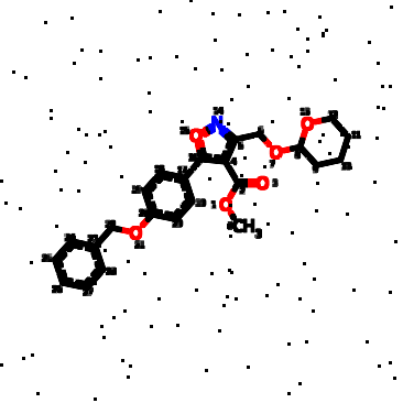 COC(=O)c1c(COC2CCCCO2)noc1-c1ccc(OCc2ccccc2)cc1